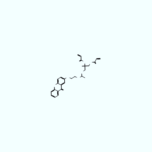 C=CC(=O)OCC(CC)(COC(C)OCCOc1ccc2sc3ccccc3c(=O)c2c1)OC(=O)C=C